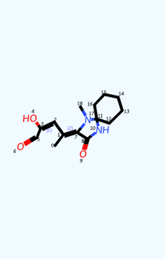 CC(/C=C(/O)C=O)=C1\C(=O)NC2(CCCCC2)N1C